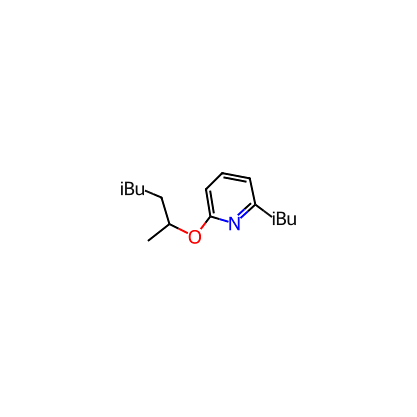 CCC(C)CC(C)Oc1cccc(C(C)CC)n1